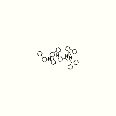 c1ccc(-c2cccc(-n3c4ccccc4c4c3ccc3c5ccccc5n(-c5cccc(-c6cc(-n7c8ccccc8c8ccccc87)nc(-n7c8ccccc8c8ccccc87)n6)c5)c34)c2)cc1